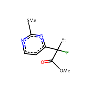 CCC(F)(C(=O)OC)c1ccnc(SC)n1